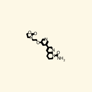 NC(=O)N1CCCc2cc(-c3cncc(OCCN4CCOC4=O)c3)cnc21